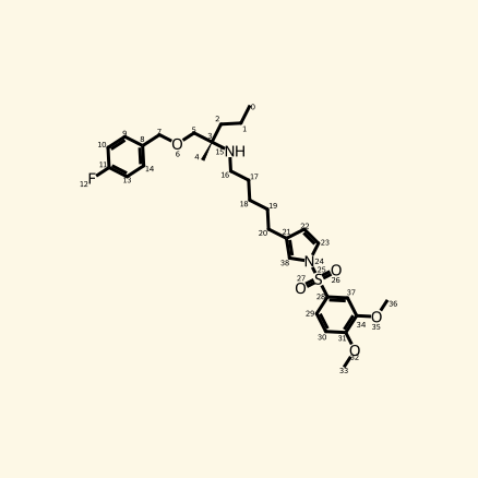 CCC[C@@](C)(COCc1ccc(F)cc1)NCCCCCc1ccn(S(=O)(=O)c2ccc(OC)c(OC)c2)c1